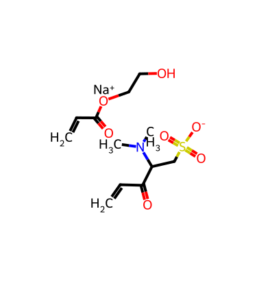 C=CC(=O)C(CS(=O)(=O)[O-])N(C)C.C=CC(=O)OCCO.[Na+]